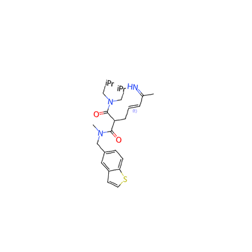 CC(=N)/C=C/CC(C(=O)N(C)Cc1ccc2sccc2c1)C(=O)N(CC(C)C)CC(C)C